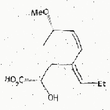 CC/C=C(\C=C/[C@H](C)OC)C[C@H](O)C(=O)O